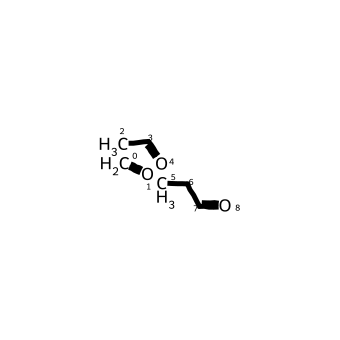 C=O.CC=O.CCC=O